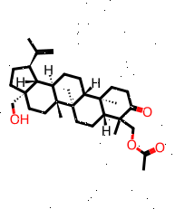 C=C(C)[C@@H]1CC[C@]2(CO)CC[C@]3(C)[C@H](CC[C@@H]4[C@@]5(C)CCC(=O)C(C)(COC(C)=O)[C@@H]5CC[C@]43C)[C@@H]12